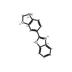 c1ccc2oc(-c3ccc4c(c3)OCN4)nc2c1